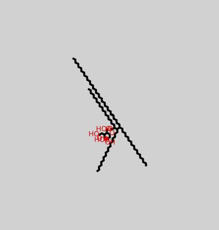 CCCCCCCCCCCCCCCCCCCCCCCCCCC=CCCCCC(CCCCCCCCCCCCCCCCCC)C(CCCCCCCCCCCCCCCCCC)C(CCCCCCCCCCCCCCCCCC)C(=O)OC(CC(=O)O)C(C(=O)O)C(CC(=O)O)C(=O)O